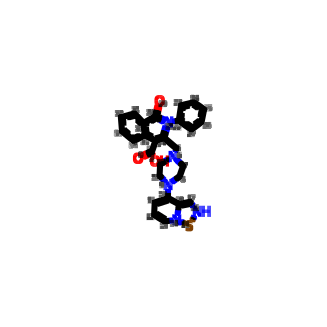 O=C(O)c1c(CN2CCN(C3=CC=CN4SNC=C34)CC2)n(-c2ccccc2)c(=O)c2ccccc12